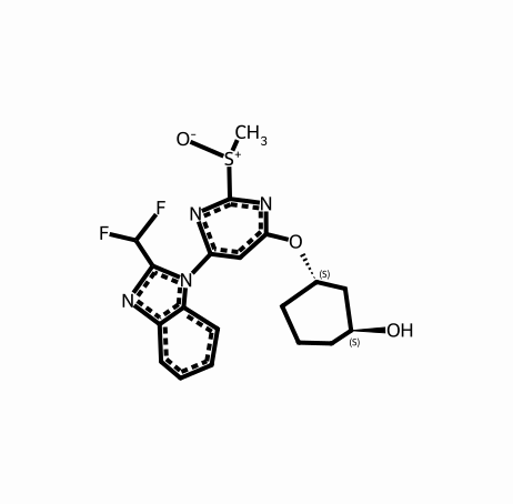 C[S+]([O-])c1nc(O[C@H]2CCC[C@H](O)C2)cc(-n2c(C(F)F)nc3ccccc32)n1